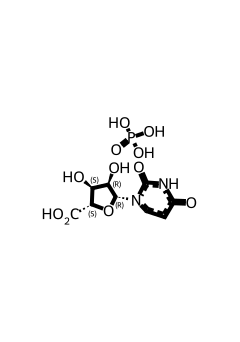 O=C(O)[C@H]1O[C@@H](n2ccc(=O)[nH]c2=O)[C@H](O)[C@@H]1O.O=P(O)(O)O